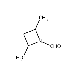 CC1CC(C)N1C=O